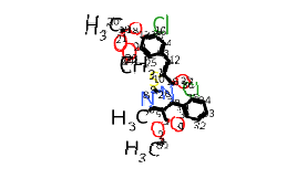 CCOC(=O)C1=C(C)N=c2sc(=Cc3cc(Cl)c(OC(C)=O)c(OC)c3)c(=O)n2C1c1ccccc1Cl